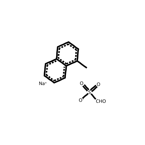 Cc1cccc2ccccc12.O=CS(=O)(=O)[O-].[Na+]